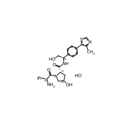 Cc1ncsc1-c1ccc([C@H](CO)NC(=O)[C@@H]2C[C@@H](O)CN2C(=O)[C@@H](N)C(C)C)cc1.Cl